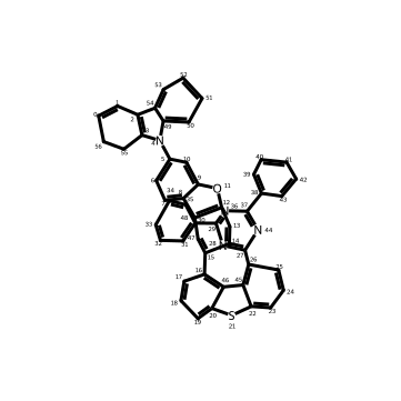 C1=Cc2c(n(-c3ccc4c(c3)oc3ccc(-c5cccc6sc7cccc(-c8nc(-c9ccccc9)nc(-c9ccccc9)n8)c7c56)cc34)c3ccccc23)CC1